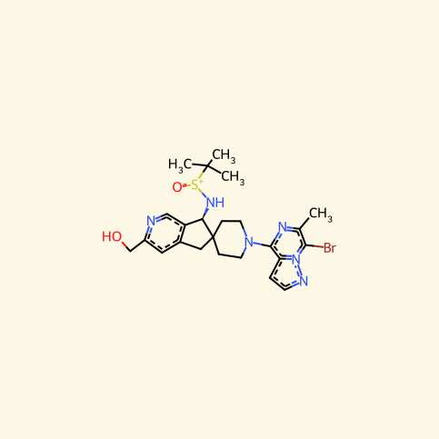 Cc1nc(N2CCC3(CC2)Cc2cc(CO)ncc2[C@H]3N[S+]([O-])C(C)(C)C)c2ccnn2c1Br